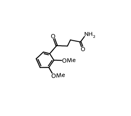 COc1cccc(C(=O)CCC(N)=O)c1OC